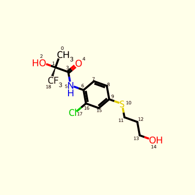 C[C@@](O)(C(=O)Nc1ccc(SCCCO)cc1Cl)C(F)(F)F